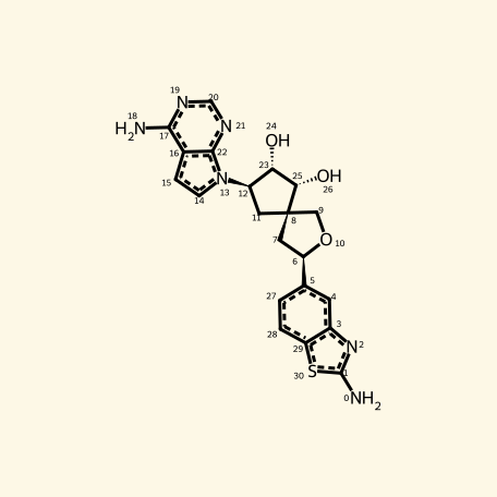 Nc1nc2cc([C@H]3C[C@@]4(CO3)C[C@@H](n3ccc5c(N)ncnc53)[C@H](O)[C@@H]4O)ccc2s1